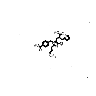 CCCCc1nc(Cl)c(CC(Cc2cccs2)C(=O)O)n1Cc1ccc(C(=O)O)cc1